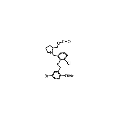 COc1ccc(Br)cc1CSc1c(Cl)cccc1CN1CCCC1COC=O